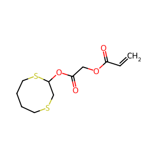 C=CC(=O)OCC(=O)OC1CSCCCCS1